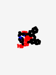 C=C(C#N)CN1CCC(C(=O)O)CC1.O=C(O)c1cc2ccccc2c(Cc2c(O)c(C(=O)O)cc3ccccc23)c1O